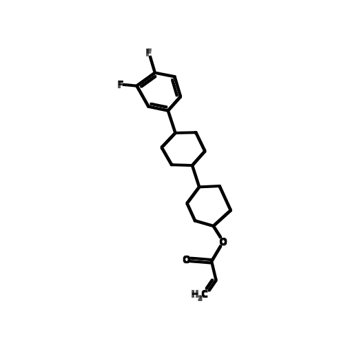 C=CC(=O)OC1CCC(C2CCC(c3ccc(F)c(F)c3)CC2)CC1